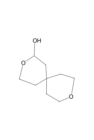 OC1CC2(CCOCC2)CCO1